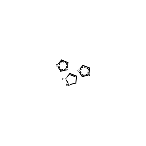 C1=CNNC1.c1cocn1.c1cocn1